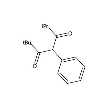 CC(C)C(=O)C(C(=O)C(C)(C)C)c1ccccc1